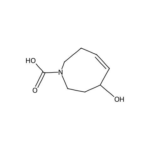 O=C(O)N1CCC=CC(O)CC1